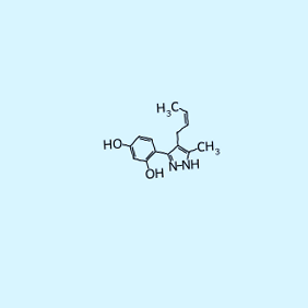 C/C=C\Cc1c(-c2ccc(O)cc2O)n[nH]c1C